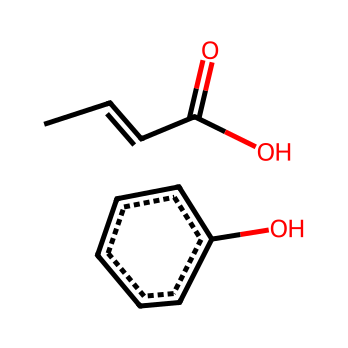 CC=CC(=O)O.Oc1ccccc1